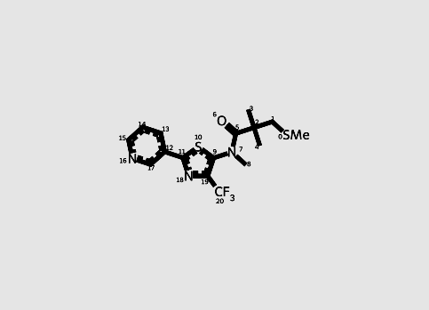 CSCC(C)(C)C(=O)N(C)c1sc(-c2cccnc2)nc1C(F)(F)F